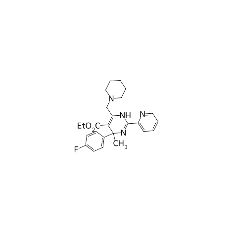 CCOC(=O)C1=C(CN2CCCCC2)NC(c2ccccn2)=NC1(C)c1ccc(F)cc1